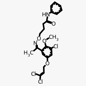 COc1c(Cl)cc(OCC=C(Cl)Cl)cc1/C(C)=N\OCCCC(=O)Nc1ccccc1